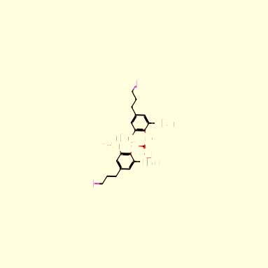 CC(C)(C)c1cc(CCCI)cc(C(C)(C)C)c1OC(=O)Oc1c(C(C)(C)C)cc(CCCI)cc1C(C)(C)C